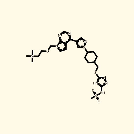 C[Si](C)(C)CCOCn1ccc2c(-c3cnn(C4CCC(CSc5nnc(NS(C)(=O)=O)[nH]5)CC4)c3)ncnc21